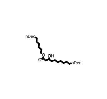 CCCCCCCCCCCCCCCCCC(O)CC(=O)OCCCCCCCCCCCCCCCC